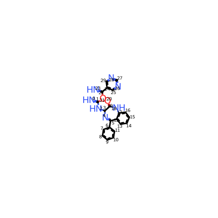 N=C(NC1N=C(c2ccccc2)c2ccccc2NC1=O)OC(=N)c1cncnc1